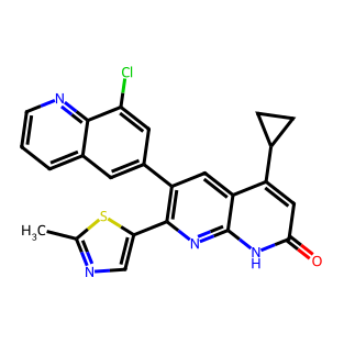 Cc1ncc(-c2nc3[nH]c(=O)cc(C4CC4)c3cc2-c2cc(Cl)c3ncccc3c2)s1